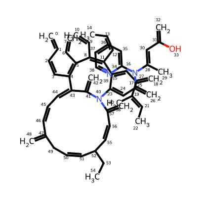 C=C/C=C\c1c(C=C)c(C=C)c(/C=C\C)c(=C/C(=C)/C(C)=C/C)/c(=C\C(=C)N(/C(C)=C/C(=C)O)c2ccccn2)n2c(=C)/c1=C\C=C/C(=C)C/C=C\C(CC)/C=C\C2=C